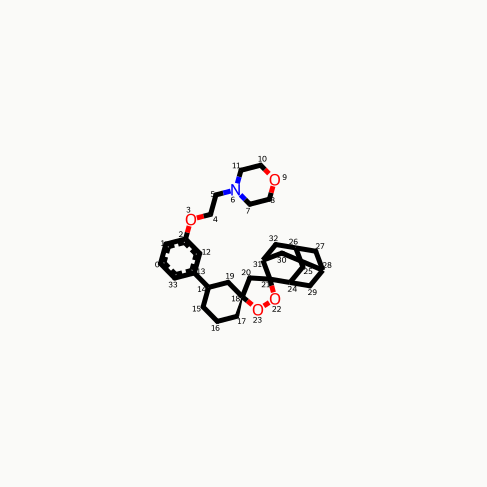 c1cc(OCCN2CCOCC2)cc(C2CCC[C@@]3(C2)CC2(OO3)C3CC4CC(C3)CC2C4)c1